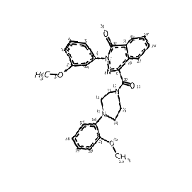 COc1cccc(-n2nc(C(=O)N3CCN(c4ccccc4OC)CC3)c3ccccc3c2=O)c1